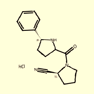 Cl.N#C[C@@H]1CCCN1C(=O)C1CC[C@H](c2ccccc2)N1